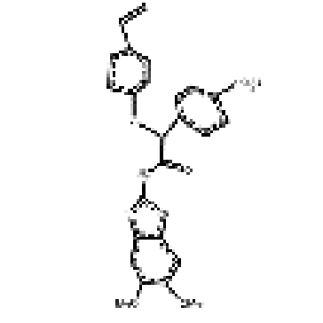 C=Cc1ccc(OC(C(=O)Nc2nc3cc(OC)c(OC)cc3s2)c2ccc(C(=O)O)cc2)cc1